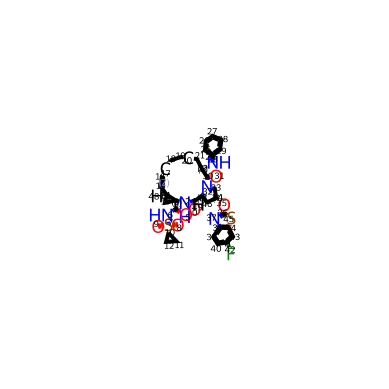 O=C1N[C@]2(C(=O)NS(=O)(=O)C3CC3)C[C@H]2/C=C\CCCCC[C@H](Nc2ccccc2)C(=O)N2C[C@H](Oc3nc4ccc(F)cc4s3)C[C@@H]12